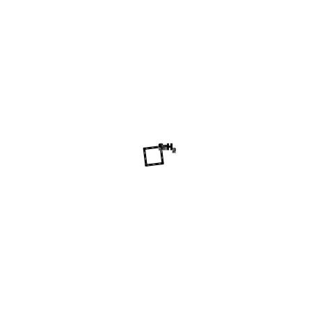 C1[CH2][SnH2][CH2]1